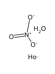 O.O=[N+]([O-])[O-].[Ho]